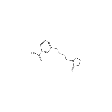 O=C(O)c1ccnc(COCCN2CCCC2=O)c1